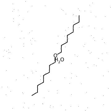 CCCCCCCCOCCCCCCCC.O